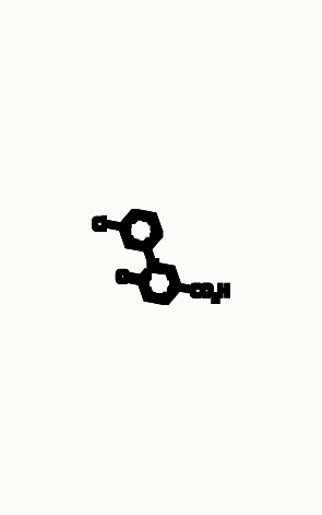 O=C(O)c1ccc(=O)n(-c2cccc(Cl)c2)c1